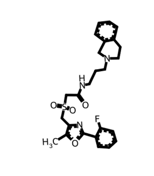 Cc1oc(-c2ccccc2F)nc1CS(=O)(=O)CC(=O)NCCCN1CCc2ccccc2C1